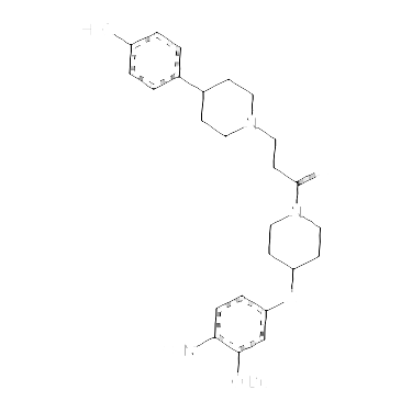 Cc1ccc(C2CCN(CCC(=O)N3CCC(Oc4ccc([N+](=O)[O-])c(OCC(C)C)c4)CC3)CC2)cc1